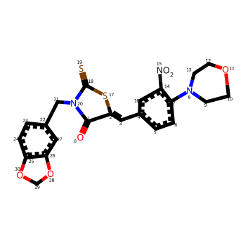 O=C1C(=Cc2ccc(N3CCOCC3)c([N+](=O)[O-])c2)SC(=S)N1Cc1ccc2c(c1)OCO2